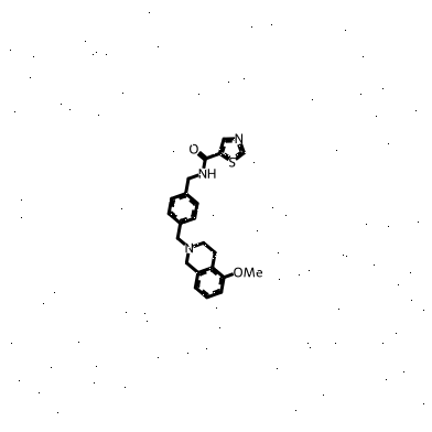 COc1cccc2c1CCN(Cc1ccc(CNC(=O)c3cncs3)cc1)C2